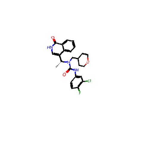 C[C@H](c1c[nH]c(=O)c2ccccc12)N(CC1CCOCC1)C(=O)Nc1ccc(F)c(Cl)c1